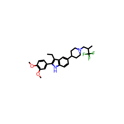 CCc1c(-c2ccc(OC)c(OC)c2)[nH]c2ccc(C3CCN(CC(C)C(F)(F)F)CC3)cc12